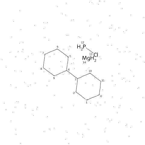 C1CCC(C2CCCCC2)CC1.PCl.[MgH2]